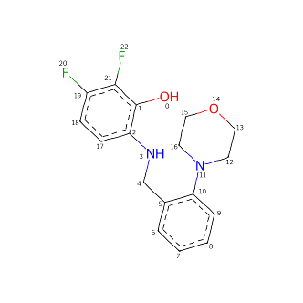 Oc1c(NCc2ccccc2N2CCOCC2)ccc(F)c1F